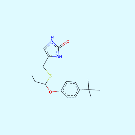 CCC(Oc1ccc(C(C)(C)C)cc1)SCc1c[nH]c(=O)[nH]1